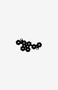 c1ccc2c(c1)-c1c(-c3ccc4oc5ccccc5c4c3)cccc1C21c2ccccc2-c2c1ccc1oc3ccccc3c21